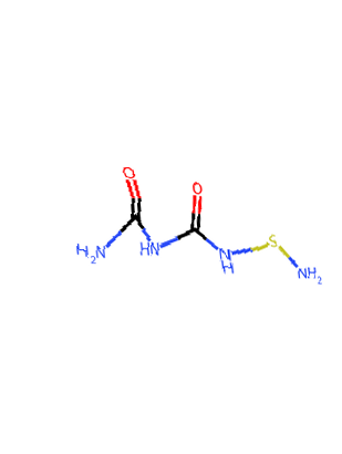 NSNC(=O)NC(N)=O